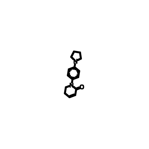 O=C1C=CCCN1c1ccc(N2CCCC2)cc1